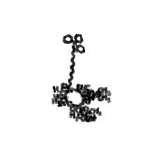 CC[C@H]1OC(=O)[C@H](C)C([C@H]2C[C@@](C)(OC)[C@@H](O)[C@H](C)O2)C[C@@H](O[C@H]2C[C@@H](N(C)C)C[C@@H](C)O2)[C@](C)(O)C[C@@H](C)CN(C(=O)CCCCCCCCCCCC[PH](C2CCCCC2)(C2CCCCC2)C2CCCCC2)[C@H](C)C[C@]1(C)O